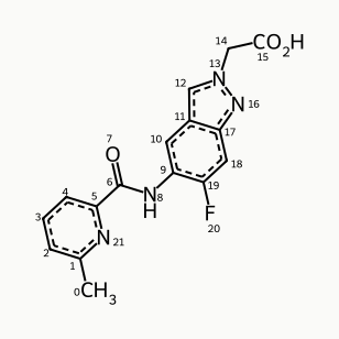 Cc1cccc(C(=O)Nc2cc3cn(CC(=O)O)nc3cc2F)n1